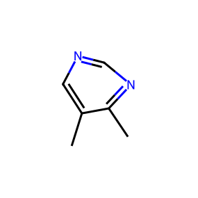 Cc1cncnc1C